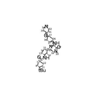 Cc1c(NC(=O)c2ccc(C(C)(C)C)cc2)cccc1-c1cn(C)c(=O)c(Nc2ccc(Oc3ccncc3)cc2)n1